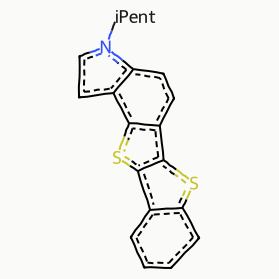 CCCC(C)n1ccc2c3sc4c5ccccc5sc4c3ccc21